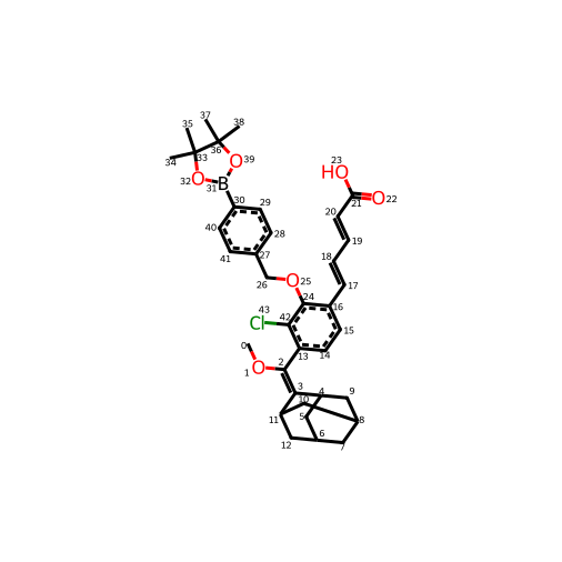 COC(=C1C2CC3CC(C2)CC1C3)c1ccc(/C=C/C=C/C(=O)O)c(OCc2ccc(B3OC(C)(C)C(C)(C)O3)cc2)c1Cl